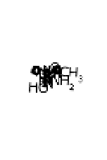 Cc1coc(-c2nn(C3CCCC3)c3nc(O)nc(N)c23)n1